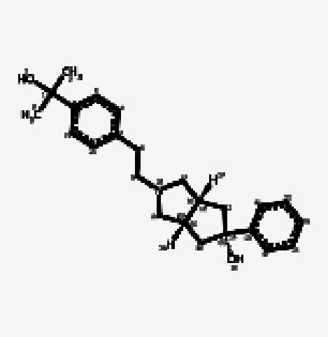 CC(C)(O)c1ccc(CCN2C[C@@H]3C[C@@](O)(c4ccccc4)C[C@@H]3C2)cc1